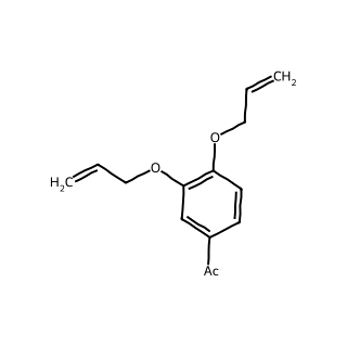 C=CCOc1ccc(C(C)=O)cc1OCC=C